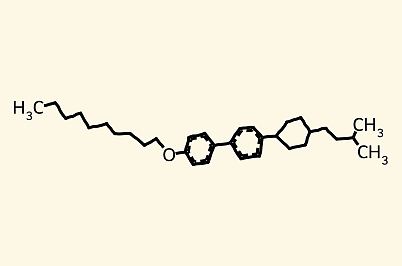 CCCCCCCCCCOc1ccc(-c2ccc(C3CCC(CCC(C)C)CC3)cc2)cc1